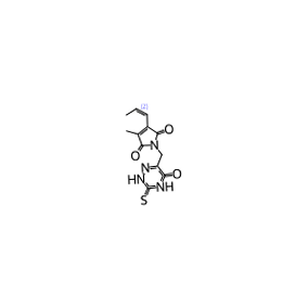 C/C=C\C1=C(C)C(=O)N(Cc2n[nH]c(=S)[nH]c2=O)C1=O